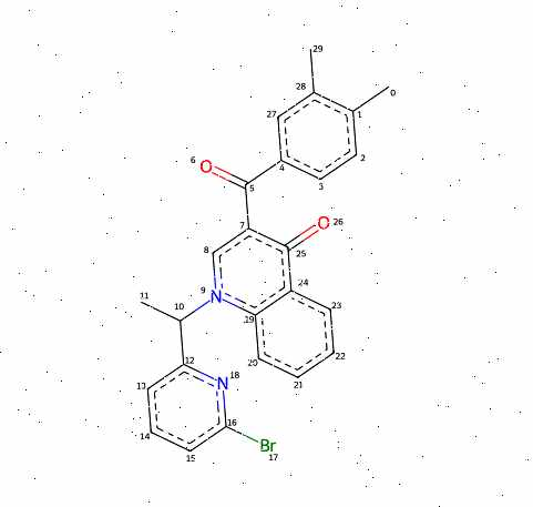 Cc1ccc(C(=O)c2cn(C(C)c3cccc(Br)n3)c3ccccc3c2=O)cc1C